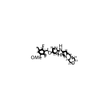 COc1cc(C)c(F)c(COc2cnc(Nc3cc(CN4CCOCC4)n[nH]3)nc2)c1F